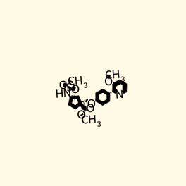 COC(=O)[C@@]1(CO[C@H]2CC[C@@H](c3ncccc3OC)CC2)CC[C@H](NS(C)(=O)=O)C1